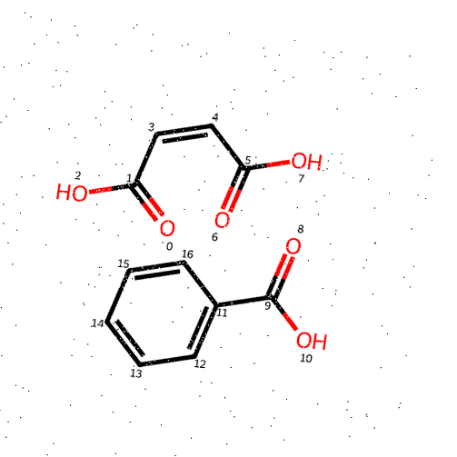 O=C(O)/C=C\C(=O)O.O=C(O)c1ccccc1